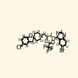 O=C(O[C@H](COc1ncnc2ccc(Br)cc12)CN1CCC2(CC1)Cc1cc(Cl)ccc1O2)C(F)(F)F